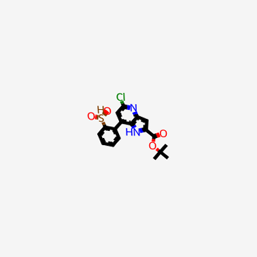 CC(C)(C)OC(=O)c1cc2nc(Cl)cc(-c3ccccc3[SH](=O)=O)c2[nH]1